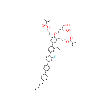 C=C(C)C(=O)OCCCc1cc(-c2ccc(-c3ccc(-c4ccc(C5CCC(CCCCC)CC5)cc4)cc3F)cc2CC)cc(CCCOC(=O)C(=C)C)c1OCCC(CO)CO